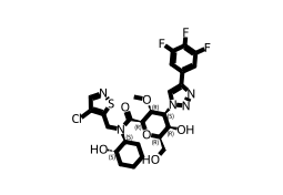 CO[C@@H]1[C@@H](n2cc(-c3cc(F)c(F)c(F)c3)nn2)[C@@H](O)[C@@H](CO)O[C@H]1C(=O)N(Cc1sncc1Cl)[C@H]1CCCC[C@@H]1O